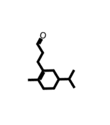 CC1=C(CCC=O)CC(C(C)C)CC1